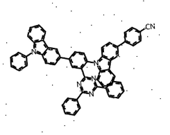 N#Cc1ccc(-c2ccc3c(c2)c2ccccc2n3-c2ccc(-c3ccc4c(c3)c3ccccc3n4-c3ccccc3)cc2-c2nc(-c3ccccc3)nc(-c3ccccc3)n2)cc1